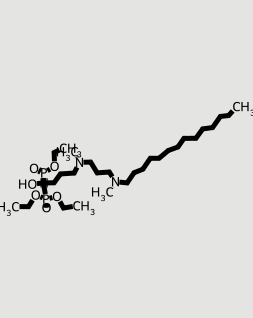 CCCCCCCCCCCCCCN(C)CCCN(C)CCCC(O)([PH](=O)OCC)P(=O)(OCC)OCC